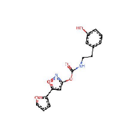 O=C(NCCc1cccc(O)c1)Oc1cc(-c2ccco2)on1